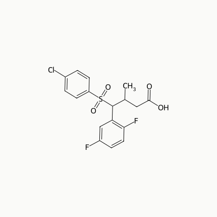 CC(CC(=O)O)C(c1cc(F)ccc1F)S(=O)(=O)c1ccc(Cl)cc1